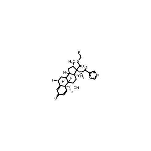 C[C@@H]1C[C@H]2[C@@H]3C[C@H](F)C4=CC(=O)C=C[C@]4(C)[C@@]3(F)[C@@H](O)C[C@]2(C)[C@@]1(OC(=O)c1cncs1)C(=O)SCF